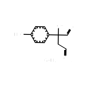 C=CCC(C)(C=O)c1ccc(C)cc1.[GeH4]